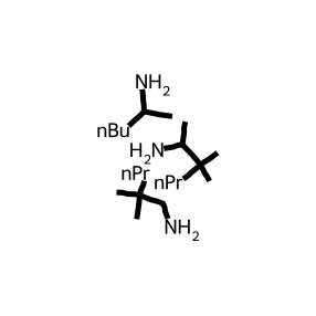 CCCC(C)(C)C(C)N.CCCC(C)(C)CN.CCCCC(C)N